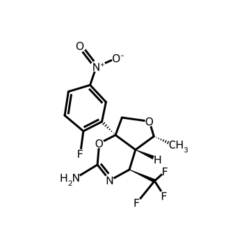 C[C@H]1OC[C@]2(c3cc([N+](=O)[O-])ccc3F)OC(N)=N[C@H](C(F)(F)F)[C@@H]12